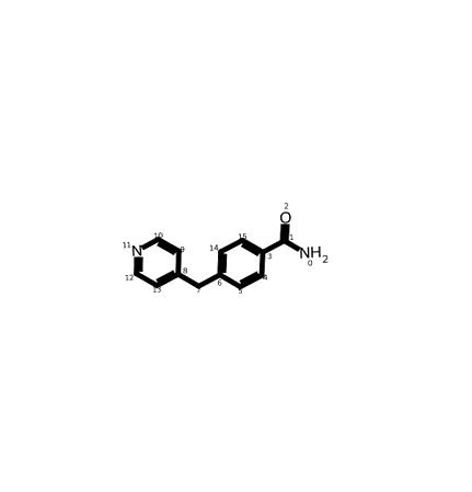 NC(=O)c1ccc(Cc2ccncc2)cc1